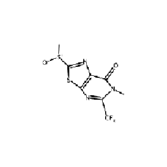 Cn1c(C(F)(F)F)nc2sc([S+](C)[O-])nc2c1=O